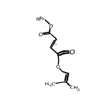 CCCOC(=O)/C=C/C(=O)OC=C(C)C